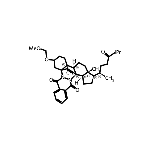 COCOC1CC[C@]2(C)[C@H]3CC[C@]4(C)[C@@H]([C@H](C)CCC(=O)C(C)C)CC[C@H]4[C@]34C=CC2(C1)n1c(=O)c2ccccc2c(=O)n14